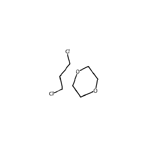 C1COCCO1.ClCCCCl